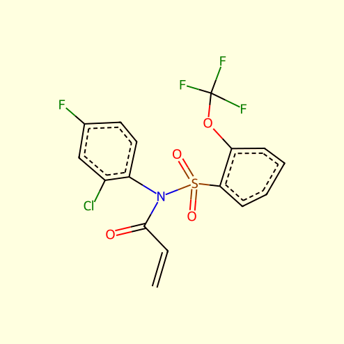 C=CC(=O)N(c1ccc(F)cc1Cl)S(=O)(=O)c1ccccc1OC(F)(F)F